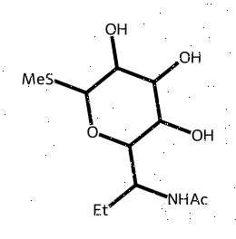 CCC(NC(C)=O)C1OC(SC)C(O)C(O)C1O